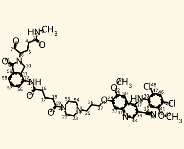 CNC(=O)CCC(C=O)N1Cc2c(NC(=O)CCCC(=O)N3CCN(CCCOc4cc5ncc(C#N)c(Nc6cc(OC)c(Cl)cc6Cl)c5cc4OC)CC3)cccc2C1=O